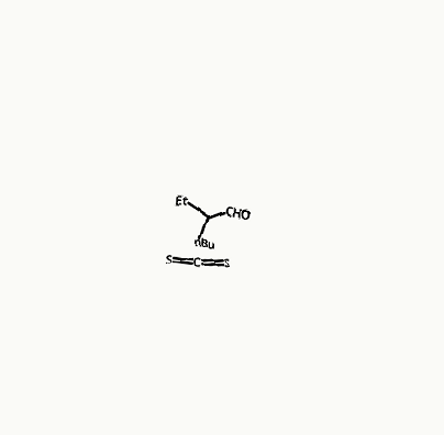 CCCCC(C=O)CC.S=C=S